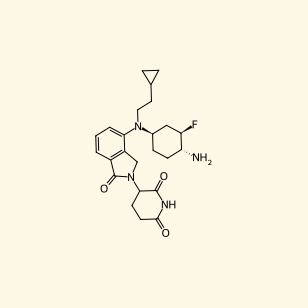 N[C@@H]1CC[C@@H](N(CCC2CC2)c2cccc3c2CN(C2CCC(=O)NC2=O)C3=O)C[C@H]1F